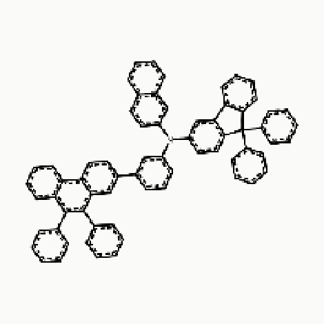 c1ccc(-c2c(-c3ccccc3)c3cc(-c4cccc(N(c5ccc6c(c5)-c5ccccc5C6(c5ccccc5)c5ccccc5)c5ccc6ccccc6c5)c4)ccc3c3ccccc23)cc1